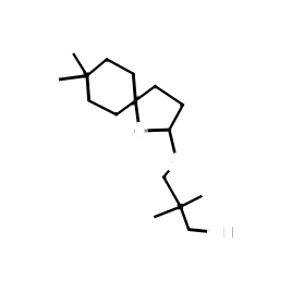 CC1(C)CCC2(CCC(OCC(C)(C)CO)O2)CC1